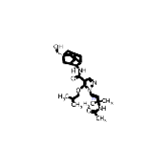 CC(=O)NC(C)(C)/C=C/n1ncc(C(=O)N[C@H]2C3CC4CC2C[C@](CO)(C4)C3)c1OCC(C)C